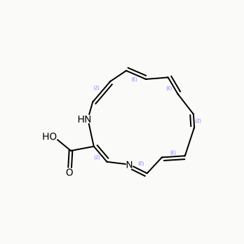 O=C(O)/C1=C/N=C/C=C/C=C\C=C\C=C\C=C/N1